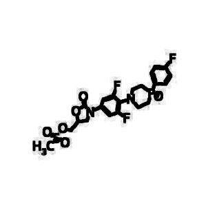 CS(=O)(=O)OCC1CN(c2cc(F)c(N3CCP(=O)(c4ccc(F)cc4)CC3)c(F)c2)C(=O)O1